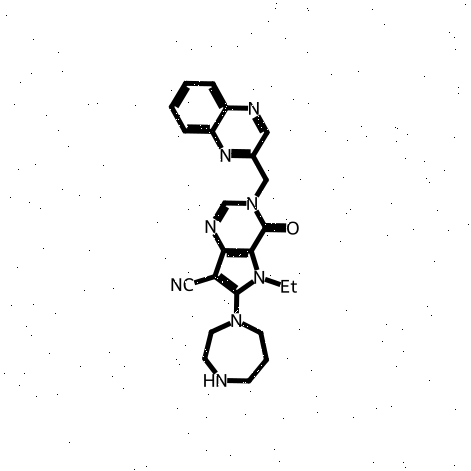 CCn1c(N2CCCNCC2)c(C#N)c2ncn(Cc3cnc4ccccc4n3)c(=O)c21